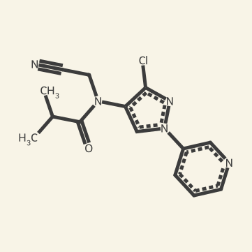 CC(C)C(=O)N(CC#N)c1cn(-c2cccnc2)nc1Cl